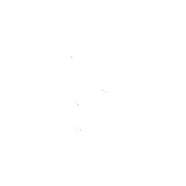 Cc1nc2ccc(Cl)nc2n1CCO